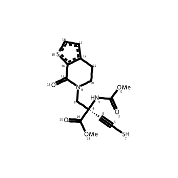 COC(=O)N[C@](C#CS)(CN1CCc2ccsc2C1=O)C(=O)OC